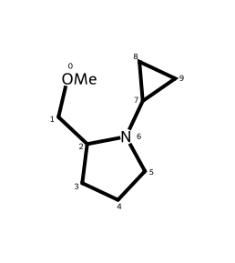 COCC1CCCN1C1CC1